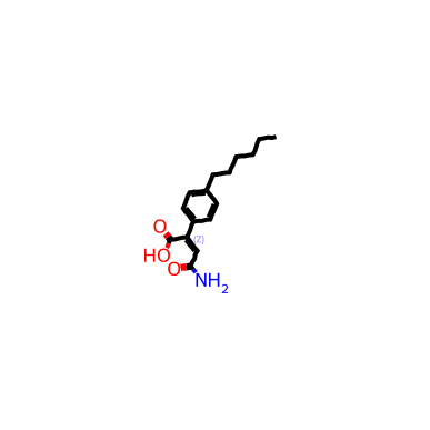 CCCCCCc1ccc(/C(=C/C(N)=O)C(=O)O)cc1